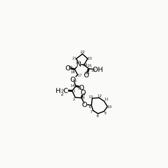 C=C(CC(=O)OC1CCCCCCC1)C(=O)OCC(=O)N1CCCC1C(=O)O